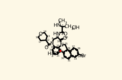 CNC(C)C(=O)N[C@H]1CN(C(=O)C2CCOCC2)c2ccccc2N(Cc2c(OC)ccc3cc(Br)ccc23)C1=O.Cl